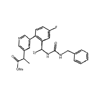 CCC(NC(=O)NCc1ccccc1)c1cc(F)ccc1-c1cncc(C(C)C(=O)OC)c1